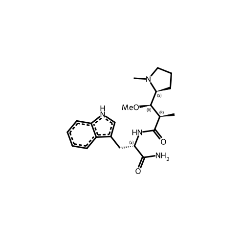 CO[C@H]([C@@H](C)C(=O)N[C@@H](Cc1c[nH]c2ccccc12)C(N)=O)[C@@H]1CCCN1C